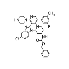 Cc1cc(F)cc(-c2cnc(N3CCNCC3)c(-c3nc4cc(Cl)ccc4[nH]3)c2N2CCC(NC(=O)OCc3ccccc3)CC2)c1